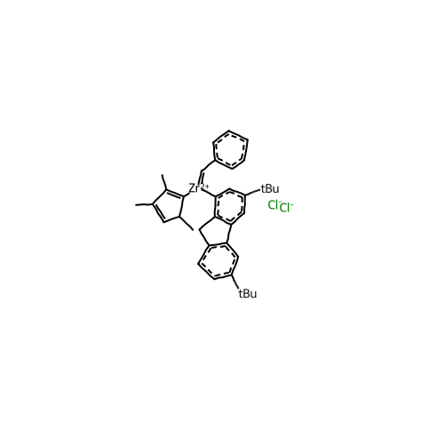 CC1=CC(C)[C](/[Zr+2](=[CH]/c2ccccc2)[c]2cc(C(C)(C)C)cc3c2Cc2ccc(C(C)(C)C)cc2-3)=C1C.[Cl-].[Cl-]